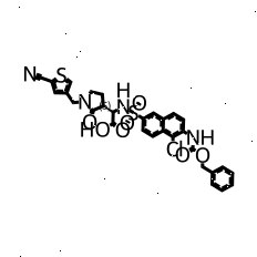 N#Cc1cc(CN2CC[C@@H](C(NS(=O)(=O)c3ccc4c(Cl)c(NC(=O)OCc5ccccc5)ccc4c3)C(=O)O)C2=O)cs1